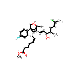 COC(=O)CCC/C=C\C[C@H]1[C@H](/C=C/[C@H](O)C(C)C/C=C(/C)Cl)[C@@H]2C[C@@]1(c1ccc(F)cc1)CO2